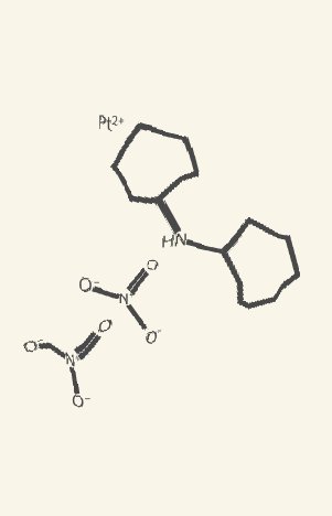 C1CCC(NC2CCCCC2)CC1.O=[N+]([O-])[O-].O=[N+]([O-])[O-].[Pt+2]